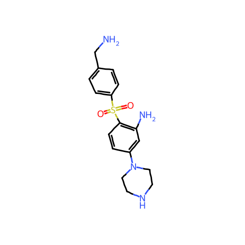 NCc1ccc(S(=O)(=O)c2ccc(N3CCNCC3)cc2N)cc1